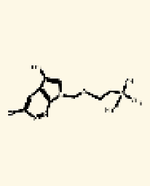 C[Si](C)(C)CCOCn1cc(O)c2cc(Cl)nnc21